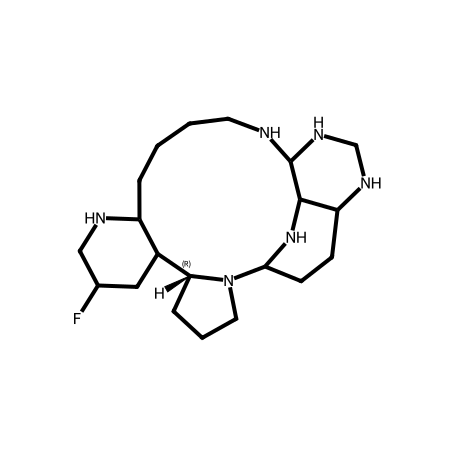 FC1CNC2CCCCNC3NCNC4CCC(NC43)N3CCC[C@@H]3C2C1